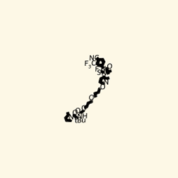 Cc1nc(OCCCCOCCCOCC(=O)NC(C(=O)N2CCCC2C)C(C)(C)C)ccc1N1C(=S)N(c2ccc(C#N)c(C(F)(F)F)c2F)C(=O)C1(C)C